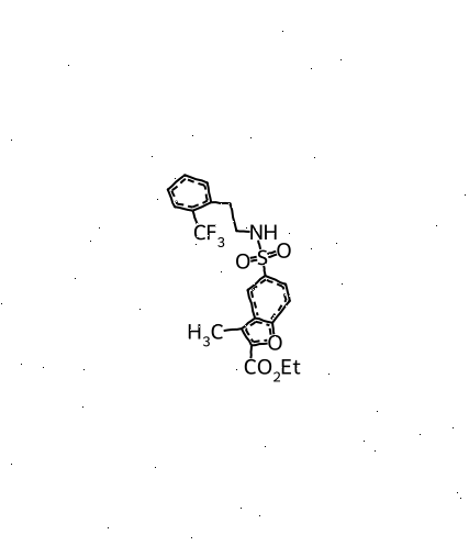 CCOC(=O)c1oc2ccc(S(=O)(=O)NCCc3ccccc3C(F)(F)F)cc2c1C